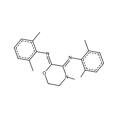 Cc1cccc(C)c1N=C1OCCN(C)C1=Nc1c(C)cccc1C